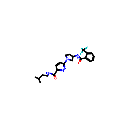 CC(C)CCNC(=O)c1ccc(N2CCC(NC(=O)c3ccccc3C(F)(F)F)C2)nn1